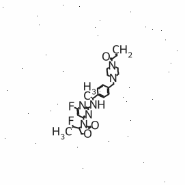 C=CC(=O)N1CCN(Cc2ccc([C@H](C)Nc3nc(F)cc(N4C(=O)OCC4[C@H](C)F)n3)cc2)CC1